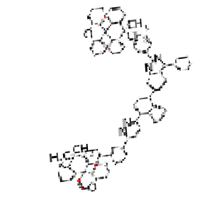 CC1(C)c2ccccc2C2(c3ccccc3Oc3ccccc32)c2cc(-c3cccc(-c4ccc(-c5ccc(-c6ccc7c(-c8ccccc8)nc(-c8cccc(-c9cccc%10c9C(C)(C)c9ccccc9C%109c%10ccccc%10Oc%10ccccc%109)c8)nc7c6)c6ccccc56)nn4)c3)ccc21